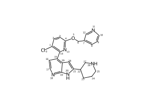 Clc1ccc(OCc2cccnc2)nc1-c1ccnc2[nH]c(C3CCCNC3)cc12